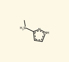 C[SiH2]c1cc[nH]n1